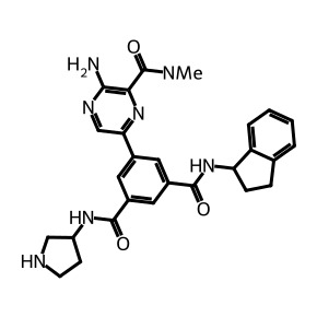 CNC(=O)c1nc(-c2cc(C(=O)NC3CCNC3)cc(C(=O)NC3CCc4ccccc43)c2)cnc1N